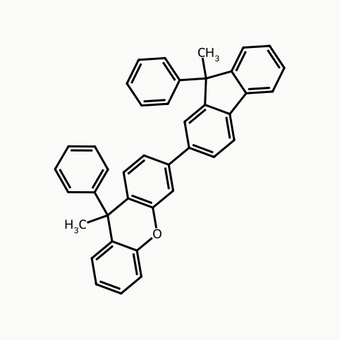 CC1(c2ccccc2)c2ccccc2Oc2cc(-c3ccc4c(c3)C(C)(c3ccccc3)c3ccccc3-4)ccc21